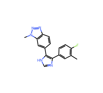 Cc1cc(-c2nc[nH]c2-c2ccc3nnn(C)c3c2)ccc1F